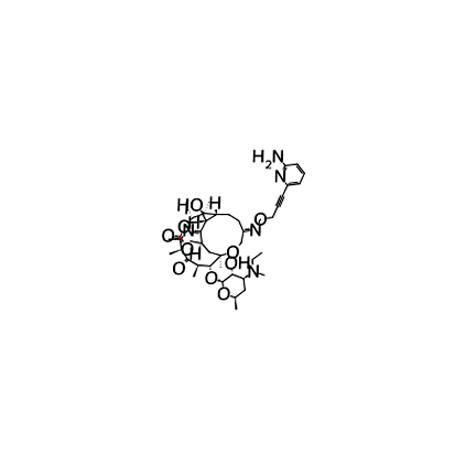 CCN(C)[C@H]1C[C@@H](C)O[C@@H](O[C@@H]2[C@@H](C)C(=O)[C@@H](C)C(=O)O[C@H](I)[C@@](C)(O)[C@@H]3CC/C(=N\OCC#Cc4cccc(N)n4)CO[C@]2(C)C[C@@H](C)/C(=N\C(C)=O)[C@@H]3C)[C@@H]1O